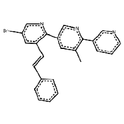 Cc1cc(-c2ncc(Br)cc2C=Cc2ccccc2)cnc1-c1cccnc1